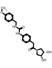 COc1ccc(CNC(=O)Nc2ccc(CC(=O)N3C[C@H](O)[C@@H](O)C3)cc2)cc1